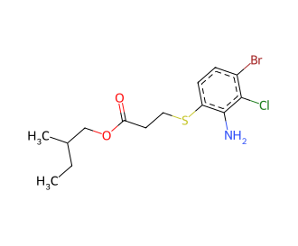 CCC(C)COC(=O)CCSc1ccc(Br)c(Cl)c1N